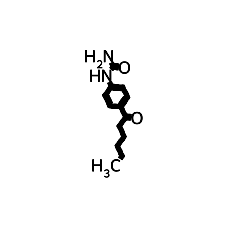 CCCCCC(=O)c1ccc(NC(N)=O)cc1